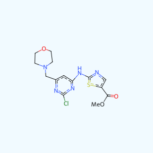 COC(=O)c1cnc(Nc2cc(CN3CCOCC3)nc(Cl)n2)s1